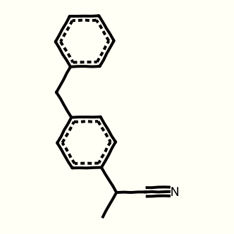 CC(C#N)c1ccc(Cc2ccccc2)cc1